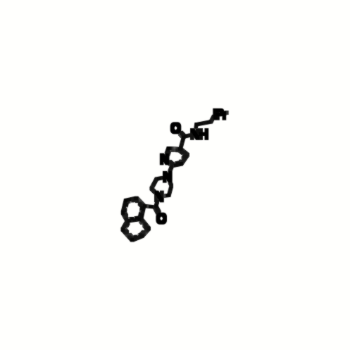 CC(C)CCNC(=O)c1ccc(N2CCN(C(=O)c3cccc4ccccc34)CC2)nc1